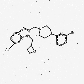 CC(=O)c1ccc2nc(CN3CCC(c4cccc(Br)n4)CC3)n(C[C@@H]3CCO3)c2c1